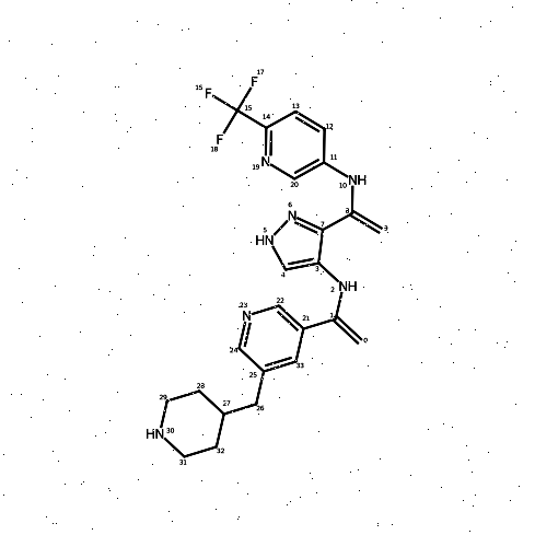 C=C(Nc1c[nH]nc1C(=C)Nc1ccc(C(F)(F)F)nc1)c1cncc(CC2CCNCC2)c1